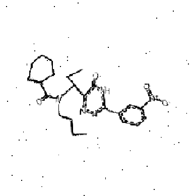 CCCCN(C(=O)C1CCCCC1)C(CC)c1nnc(-c2cccc([N+](=O)[O-])c2)[nH]c1=O